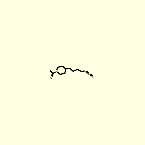 CC(=O)N1CCC(CCCCN=[N+]=[N-])CC1